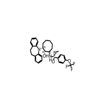 CN=S(=O)(N[C@@H]1CCCCC[C@@H](N2c3ccccc3CCc3ccccc32)[C@H]1O)c1ccc(OC(F)(F)F)cc1